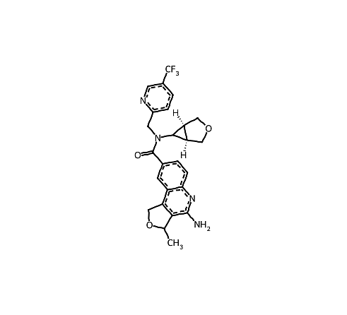 CC1OCc2c1c(N)nc1ccc(C(=O)N(Cc3ccc(C(F)(F)F)cn3)C3[C@H]4COC[C@@H]34)cc21